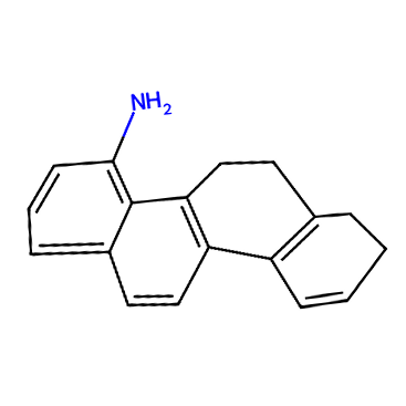 Nc1cccc2ccc3c(c12)CCC1=C3C=CCC1